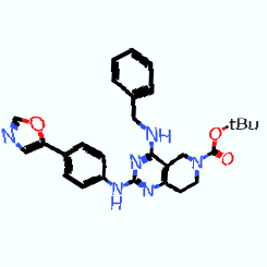 CC(C)(C)OC(=O)N1CCc2nc(Nc3ccc(-c4cnco4)cc3)nc(NCc3ccccc3)c2C1